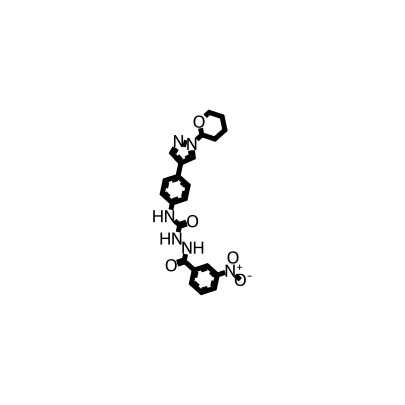 O=C(NNC(=O)c1cccc([N+](=O)[O-])c1)Nc1ccc(-c2cnn(C3CCCCO3)c2)cc1